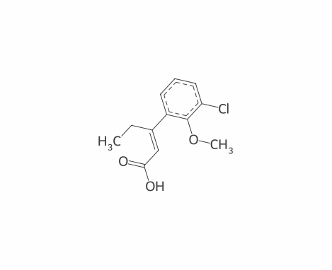 CCC(=CC(=O)O)c1cccc(Cl)c1OC